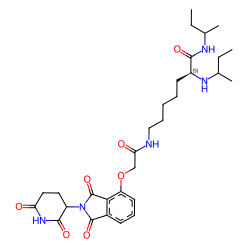 CCC(C)NC(=O)[C@H](CCCCCNC(=O)COc1cccc2c1C(=O)N(C1CCC(=O)NC1=O)C2=O)NC(C)CC